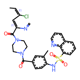 C=N/C(=C\C(Cl)=C/C)C(=O)N1CCN(C(=O)c2ccc(NS(=O)(=O)c3cccc4cccnc34)c(C)c2)CC1